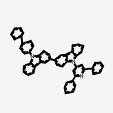 c1ccc(-c2ccc(-n3c4ccccc4c4cc(-c5ccc6c(c5)c5ccccc5n6-c5cc(-c6ccccc6)nc(-c6ccccc6)c5)ccc43)cc2)cc1